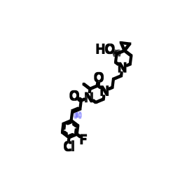 CC1C(=O)N(CCCN2CCC3(CC3)[C@H](O)C2)CCN1C(=O)/C=C/c1ccc(Cl)c(F)c1